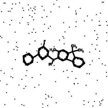 Cc1cc2c(cc1N(c1cc(F)cc(-c3ccccc3)c1)C(C)C)-c1ccccc1C2(C)C